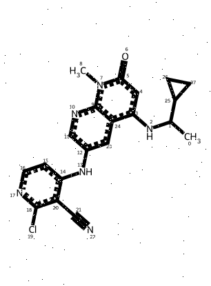 CC(Nc1cc(=O)n(C)c2ncc(Nc3ccnc(Cl)c3C#N)cc12)C1CC1